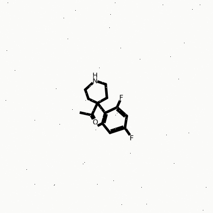 CC(=O)C1(c2c(C)cc(F)cc2F)CCNCC1